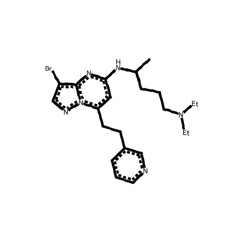 CCN(CC)CCCC(C)Nc1cc(CCc2cccnc2)n2ncc(Br)c2n1